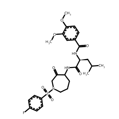 COc1ccc(C(=O)N[C@@H](CC(C)C)C(=O)NC2CCCN(S(=O)(=O)c3ccc(F)cc3)CC2=O)cc1OC